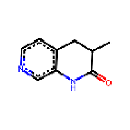 CC1Cc2ccncc2NC1=O